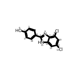 Oc1ccc(-c2nc3c(Cl)cc(Cl)cc3[nH]2)cc1